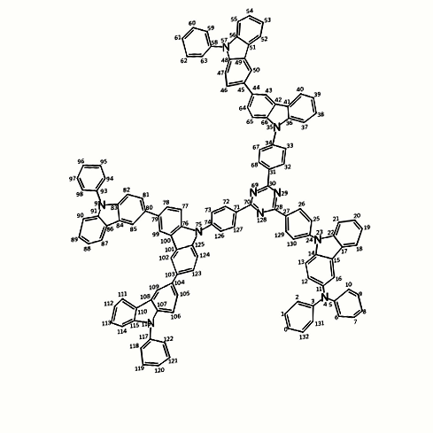 c1ccc(N(c2ccccc2)c2ccc3c(c2)c2ccccc2n3-c2ccc(-c3nc(-c4ccc(-n5c6ccccc6c6cc(-c7ccc8c(c7)c7ccccc7n8-c7ccccc7)ccc65)cc4)nc(-c4ccc(-n5c6ccc(-c7ccc8c(c7)c7ccccc7n8-c7ccccc7)cc6c6cc(-c7ccc8c(c7)c7ccccc7n8-c7ccccc7)ccc65)cc4)n3)cc2)cc1